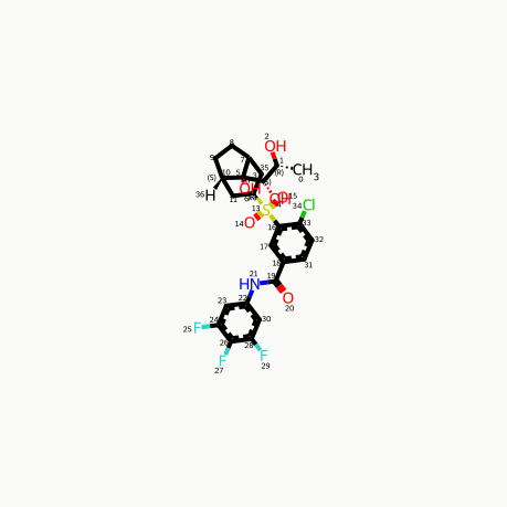 C[C@@H](O)[C@H](O)[C@@]1(O)C2CC[C@H]1C[C@H](S(=O)(=O)c1cc(C(=O)Nc3cc(F)c(F)c(F)c3)ccc1Cl)C2